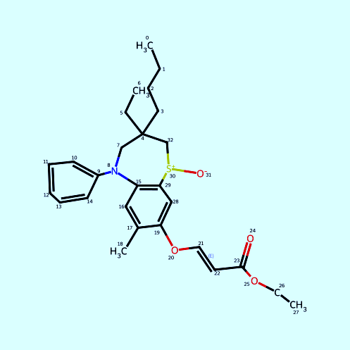 CCCCC1(CC)CN(c2ccccc2)c2cc(C)c(O/C=C/C(=O)OCC)cc2[S+]([O-])C1